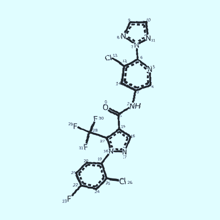 O=C(Nc1cnc(-n2nccn2)c(Cl)c1)c1cnn(-c2ccc(F)cc2Cl)c1C(F)(F)F